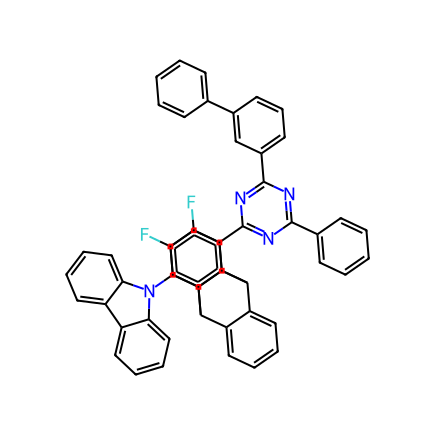 Fc1cc2c(cc1F)C1c3ccccc3C2c2c(-c3nc(-c4ccccc4)nc(-c4cccc(-c5ccccc5)c4)n3)ccc(-n3c4ccccc4c4ccccc43)c21